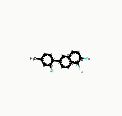 Cc1ccc(-c2ccc3c(F)c(F)ccc3c2)c(F)c1